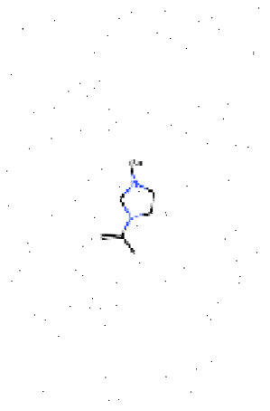 C=C(C)N1CCN(C(C)(C)C)C1